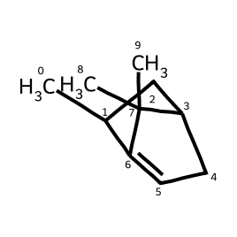 CC1CC2CC=C1C2(C)C